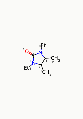 CCN1C(=O)N(CC)C(C)C1C